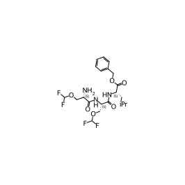 CC(C)C[C@H](NC(=O)[C@H](COC(F)F)NC(=O)[C@@H](N)COC(F)F)C(=O)OCc1ccccc1